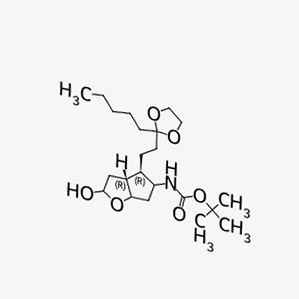 CCCCCC1(CC[C@H]2C(NC(=O)OC(C)(C)C)CC3OC(O)C[C@@H]32)OCCO1